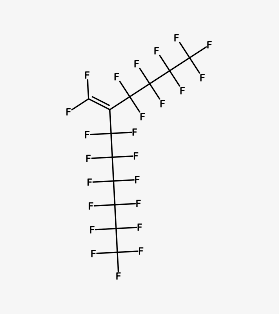 FC(F)=C(C(F)(F)C(F)(F)C(F)(F)C(F)(F)F)C(F)(F)C(F)(F)C(F)(F)C(F)(F)C(F)(F)C(F)(F)F